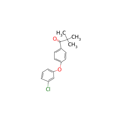 CC(C)(C)C(=O)c1ccc(Oc2cccc(Cl)c2)cc1